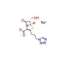 O=C([O-])C1=C(CCCn2cnnn2)S[C@@H]2[C@@H](CO)C(=O)N12.[Na+]